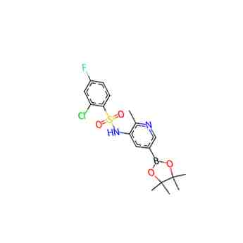 Cc1ncc(B2OC(C)(C)C(C)(C)O2)cc1NS(=O)(=O)c1ccc(F)cc1Cl